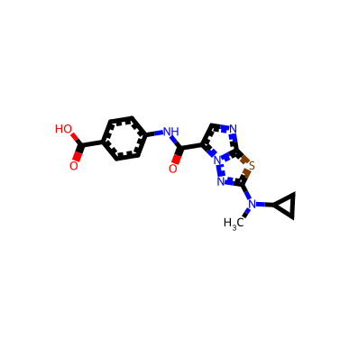 CN(c1nn2c(C(=O)Nc3ccc(C(=O)O)cc3)cnc2s1)C1CC1